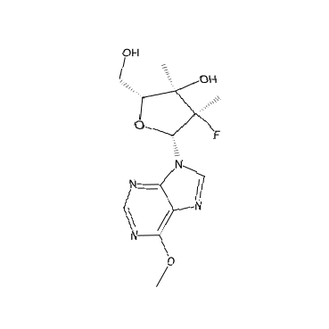 COc1ncnc2c1ncn2[C@@H]1O[C@H](CO)[C@@](C)(O)[C@@]1(C)F